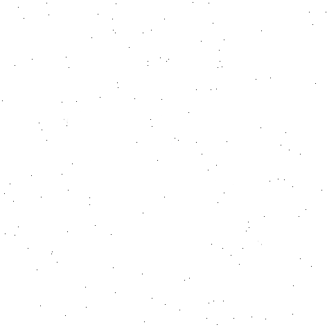 CC1(C)c2cc(/C=C/c3ccc4c(c3)c3cc(N5c6ccccc6C=CC6C=CC=CC65)ccc3p4C3=CCCC=C3)ccc2-c2ccc(N3C4=C(C=CC5=C3CCC=C5)CCC=C4)cc21